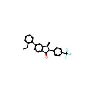 C=C1c2cc(-c3ccccc3CC)ccc2C(=O)C1c1ccc(C(F)(F)F)cc1